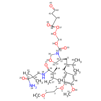 COCCCOc1cc(C[C@@H](C[C@H]2[C@H](C[C@H](C(=O)NCC(C)(C)C(N)=O)C(C)C)OCN2C(=O)OCOOC(=O)CCC=O)C(C)C)ccc1OC